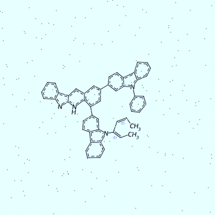 C/C=C\C(=C/C)n1c2ccccc2c2ccc(-c3cc(-c4ccc5c6ccccc6n(-c6ccccc6)c5c4)cc4cc5c6ccccc6nc-5[nH]c34)cc21